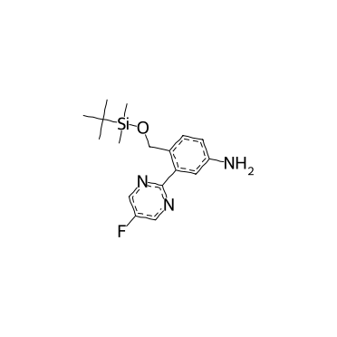 CC(C)(C)[Si](C)(C)OCc1ccc(N)cc1-c1ncc(F)cn1